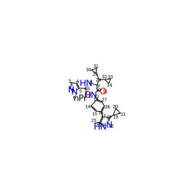 CCCn1nccc1C(=O)NC(C(=O)Nc1ccc(-c2c(C3CC3)n[nH]c2C)cc1)C(C1CC1)C1CC1